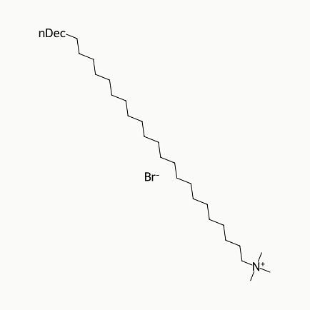 CCCCCCCCCCCCCCCCCCCCCCCCCCCCCCCC[N+](C)(C)C.[Br-]